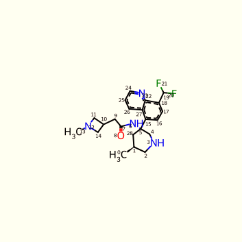 C[C@@H]1CNC[C@](NC(=O)CC2CN(C)C2)(c2ccc(C(F)F)c3ncccc23)C1